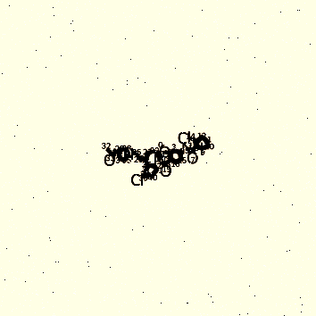 COc1cc(NC(=O)c2ccccc2Cl)ccc1C(=O)N1CCC=C(CCN2CCN(C(C)=O)CC2)c2cc(Cl)ccc21